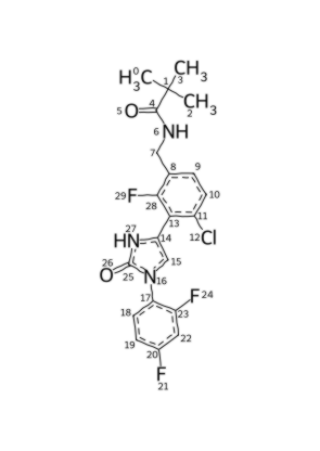 CC(C)(C)C(=O)NCc1ccc(Cl)c(-c2cn(-c3ccc(F)cc3F)c(=O)[nH]2)c1F